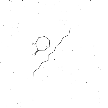 CCCCCCCCCCCC.O=C1CCCCCN1